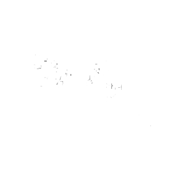 CCCCCCCCCC(=O)NCC1CCCN1C(=O)CCNC(=O)C1OC(C)(C)OCC1(C)C